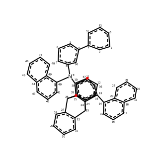 c1ccc(-c2cccc(N(c3ccc(-c4cccc5ccccc45)c4c3C3c5ccccc5C4c4ccccc43)c3cccc4ccccc34)c2)cc1